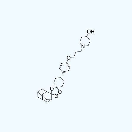 OC1CCN(CCCOc2ccc([C@H]3CC[C@]4(CC3)OO[C@]3(O4)C4CC5CC(C4)CC3C5)cc2)CC1